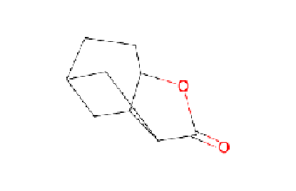 O=C1OC2CCC3CC1C2C3